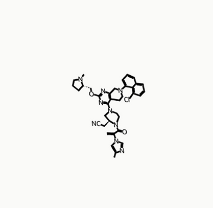 C=C(C(=O)N1CCN(c2nc(OC[C@@H]3CCCN3C)nc3c2CCN(c2cccc4cccc(Cl)c24)C3)C[C@@H]1CC#N)n1cnc(C)c1